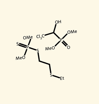 CCSCCSP(=S)(OC)OC.COP(=O)(OC)C(O)C(Cl)(Cl)Cl